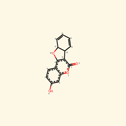 O=c1oc2cc(O)ccc2c2c1C1C=CC=CC1O2